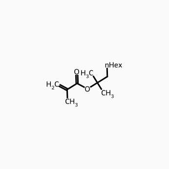 C=C(C)C(=O)OC(C)(C)CCCCCCC